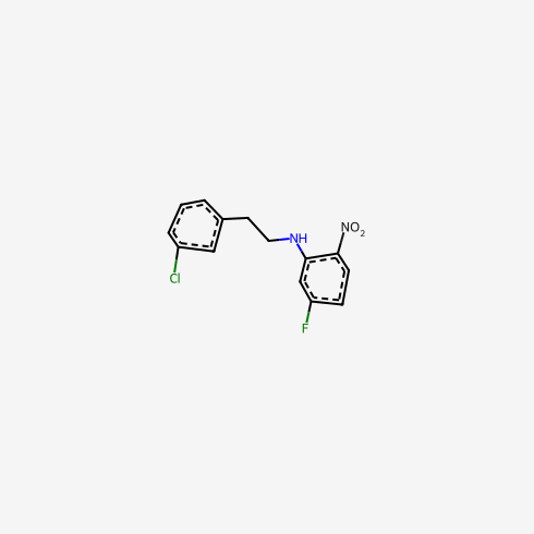 O=[N+]([O-])c1ccc(F)cc1NCCc1cccc(Cl)c1